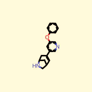 C1=C(c2cncc(Oc3ccccc3)c2)CC2CC1CN2